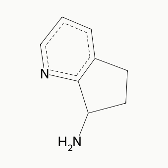 NC1CCc2cccnc21